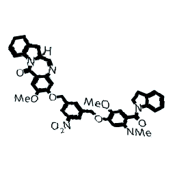 CNc1cc(OCc2cc(COc3cc4c(cc3OC)C(=O)N3C5=C(CCC=C5)C[C@H]3C=N4)cc([N+](=O)[O-])c2)c(OC)cc1C(=O)N1CCc2ccccc21